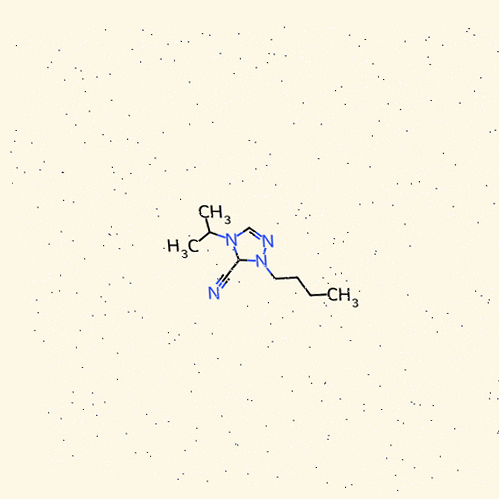 CCCCN1N=CN(C(C)C)C1C#N